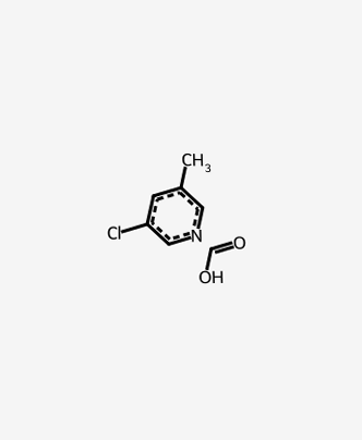 Cc1cncc(Cl)c1.O=CO